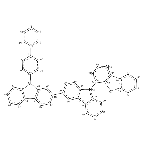 c1ccc(-c2ccc(C3c4ccccc4-c4ccc(-c5ccc6c(c5)c5ccccc5n6-c5ncnc6c5Cc5ccccc5-6)cc43)cc2)cc1